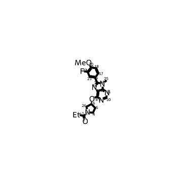 CCC(=O)N1CC[C@H](Oc2ncnc3c2nc(-c2ccc(OC)c(F)c2)n3C)C1